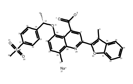 Cc1c(-c2cc(C(=O)[O-])c3c(O[C@@H](C)c4ccc(S(C)(=O)=O)cc4)ccc(C)c3n2)oc2ccccc12.[Na+]